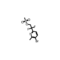 Cc1nc(C(F)(F)COS(C)(=O)=O)ccc1Br